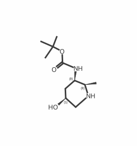 C[C@H]1NC[C@@H](O)C[C@H]1NC(=O)OC(C)(C)C